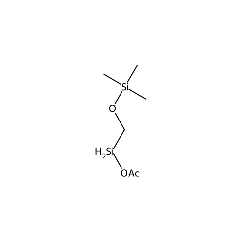 CC(=O)O[SiH2]CO[Si](C)(C)C